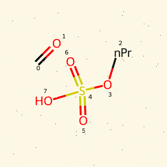 C=O.CCCOS(=O)(=O)O